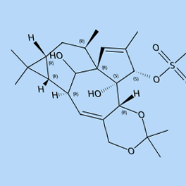 CC1=C[C@]23C(O)[C@@H](C=C4COC(C)(C)O[C@H]4[C@]2(O)[C@H]1OS(C)(=O)=O)[C@H]1[C@@H](C[C@H]3C)C1(C)C